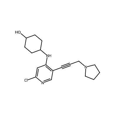 OC1CCC(Nc2cc(Cl)ncc2C#CCN2CCCC2)CC1